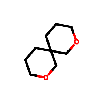 C1COCC2(C1)CCCOC2